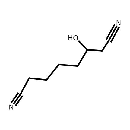 N#CCCCCC(O)CC#N